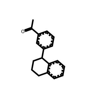 CC(=O)c1cccc(C2CCCc3ccccc32)c1